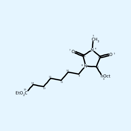 CCCCCCCCC1C(=O)N(C)C(=O)N1CCCCCCC(=O)OCC